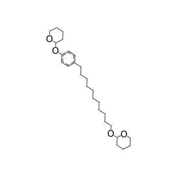 c1cc(OC2CCCCO2)ccc1CCCCCCCCCCCOC1CCCCO1